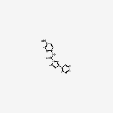 CCCCc1ccc(NC(=O)n2cc(-c3ccccc3)cn2)cc1